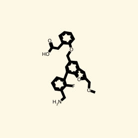 COCc1cc2cc(COc3ccccc3CC(=O)O)cc(-c3cccc(CN)c3F)c2o1